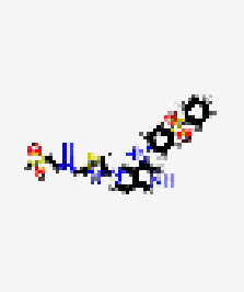 CS(=O)(=O)CCNCc1nc(N2C=CC3=CNC=C(Nc4ccc(S(=O)(=O)c5ccccc5)cc4)C3=C2)cs1